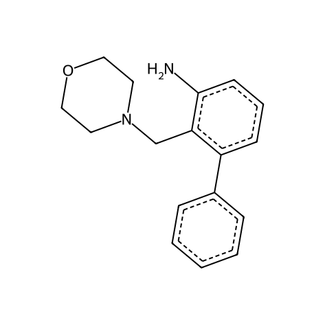 Nc1cccc(-c2ccccc2)c1CN1CCOCC1